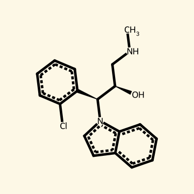 CNC[C@@H](O)[C@H](c1ccccc1Cl)n1ccc2ccccc21